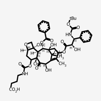 CC(=O)O[C@@]12CO[C@@H]1CC(OC(=O)NCCCC(=O)O)[C@@]1(C)C(=O)[C@H](O)C3=C(C)C(OC(=O)[C@H](O)[C@@H](NC(=O)OC(C)(C)C)c4ccccc4)C[C@@](O)([C@@H](OC(=O)c4ccccc4)[C@H]21)C3(C)C